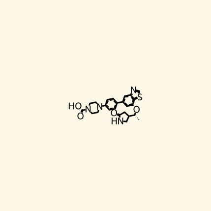 C[C@@H](Oc1cc(-c2ccc(N3CCN(C(=O)O)CC3)cc2)cc2ncsc12)C1CNC(=O)C1